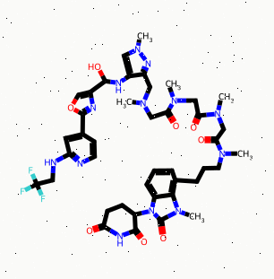 CN(CC(=O)N(C)CC(=O)N(C)CC(=O)N(C)CCCc1cccc2c1n(C)c(=O)n2C1CCC(=O)NC1=O)Cc1nn(C)cc1NC(O)c1coc(-c2ccnc(NCC(F)(F)F)c2)n1